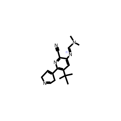 CN(C)/C=N/c1cc(C(C)(C)C)c(C2=CCN=CC2)nc1C#N